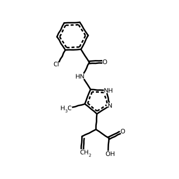 C=CC(C(=O)O)c1n[nH]c(NC(=O)c2ccccc2Cl)c1C